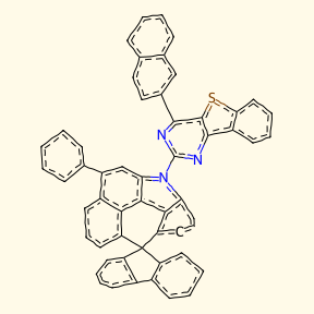 c1ccc(-c2cc3c4c5c(cccc25)C2(c5ccccc5-c5ccccc52)c2cccc(c24)n3-c2nc(-c3ccc4ccccc4c3)c3sc4ccccc4c3n2)cc1